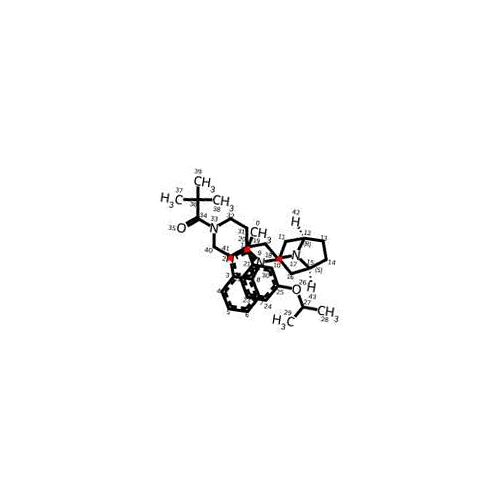 Cc1nc2ccccc2n1C1C[C@H]2CC[C@@H](C1)N2CCC1(c2cccc(OC(C)C)c2)CCN(C(=O)C(C)(C)C)CC1